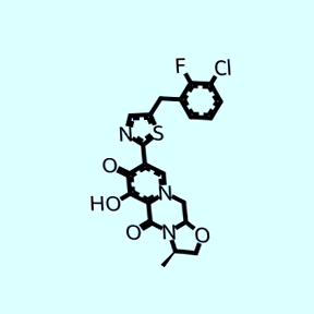 C[C@@H]1COC2Cn3cc(-c4ncc(Cc5cccc(Cl)c5F)s4)c(=O)c(O)c3C(=O)N21